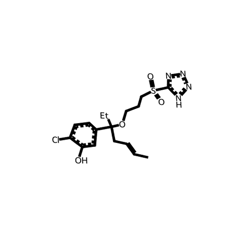 CC=CCC(CC)(OCCCS(=O)(=O)c1nnn[nH]1)c1ccc(Cl)c(O)c1